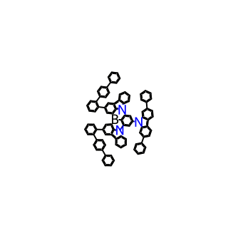 c1ccc(-c2ccc(-c3ccccc3-c3cc4c5c(c3)c3ccccc3n5-c3cc(-n5c6cc(-c7ccccc7)ccc6c6ccc(-c7ccccc7)cc65)cc5c3B4c3cc(-c4ccccc4-c4ccc(-c6ccccc6)cc4)cc4c6ccccc6n-5c34)cc2)cc1